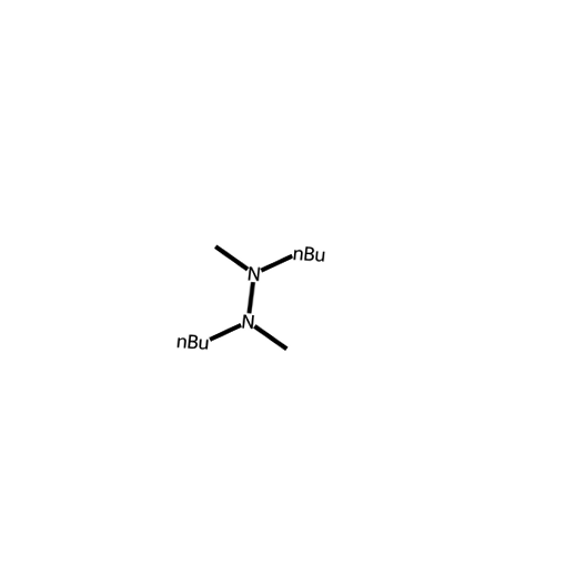 CCCCN(C)N(C)CCCC